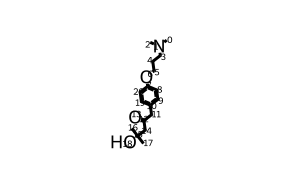 CN(C)CCCOc1ccc(CC(=O)CC(C)(C)O)cc1